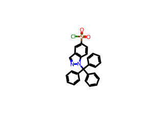 O=S(=O)(Cl)c1ccc2c(cnn2C(c2ccccc2)(c2ccccc2)c2ccccc2)c1